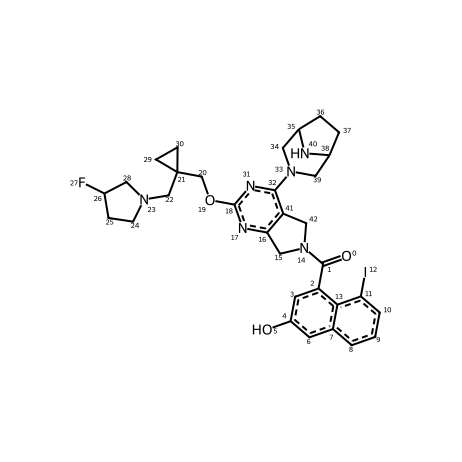 O=C(c1cc(O)cc2cccc(I)c12)N1Cc2nc(OCC3(CN4CCC(F)C4)CC3)nc(N3CC4CCC(C3)N4)c2C1